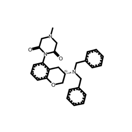 CN1CC(=O)N(c2cccc3c2C[C@H](N(Cc2ccccc2)Cc2ccccc2)CO3)C(=O)C1